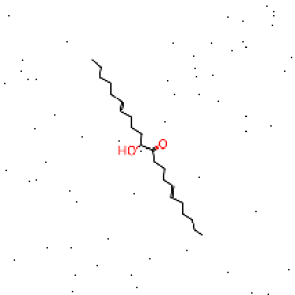 CCCCCC=CCCCC(=O)C(O)CCCC=CCCCCC